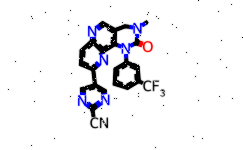 CN1Cc2cnc3ccc(-c4cnc(C#N)nc4)nc3c2N(c2cccc(C(F)(F)F)c2)C1=O